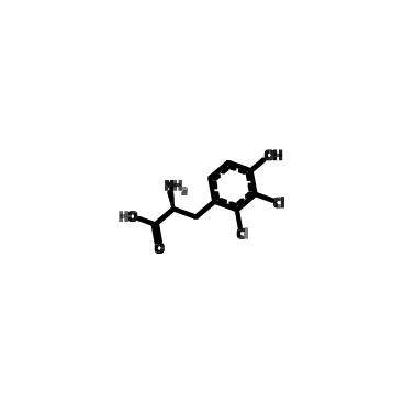 N[C@@H](Cc1ccc(O)c(Cl)c1Cl)C(=O)O